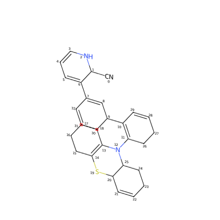 N#CC1NC=CC=C1C1=CC(C2=C(N3C4=C(CCCC4)SC4C=CCCC43)CCC=C2)CC=C1